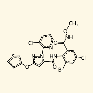 CONC(=O)c1cc(Cl)cc(Br)c1NC(=O)c1cc(Oc2ccsc2)nn1-c1ncccc1Cl